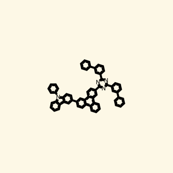 c1ccc(-c2cccc(-c3nc(-c4cccc(-c5ccccc5)c4)nc(-c4ccc5c6cc(-c7ccc8c(c7)c7ccccc7n8-c7ccccc7)ccc6c6ccccc6c5c4)n3)c2)cc1